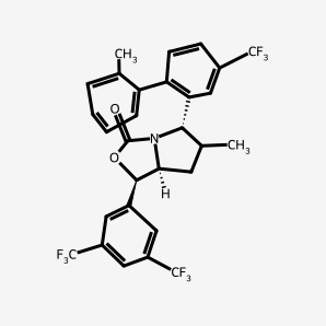 Cc1ccccc1-c1ccc(C(F)(F)F)cc1[C@@H]1C(C)C[C@H]2[C@@H](c3cc(C(F)(F)F)cc(C(F)(F)F)c3)OC(=O)N12